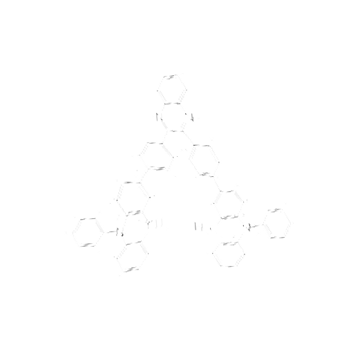 Cc1cc(-c2ccc(-c3nc4ccccc4nc3-c3ccc(-c4ccc(N(c5ccccc5)c5ccccc5)c(C)c4)cc3)cc2)ccc1N(c1ccccc1)c1ccccc1